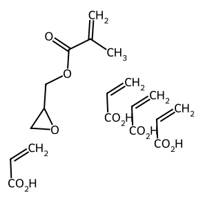 C=C(C)C(=O)OCC1CO1.C=CC(=O)O.C=CC(=O)O.C=CC(=O)O.C=CC(=O)O